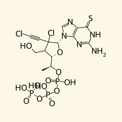 C[C@H](OP(=O)(O)OP(=O)(O)OP(=O)(O)O)[C@H]1O[C@@H](n2cnc3c(=S)[nH]c(N)nc32)C(Cl)(C#CCl)C1CO